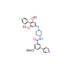 CCOc1cc(CN2CCC(NC(=O)c3cc(OC)cc(-c4ccncc4)c3)CC2)cc(OCC)c1-c1ccc(F)cc1